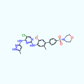 COc1cc(-c2ccc(S(=O)(=O)N3CCOCC3)cc2)c(C)cc1Nc1ncc(Cl)c(Nc2cc(C)[nH]n2)n1